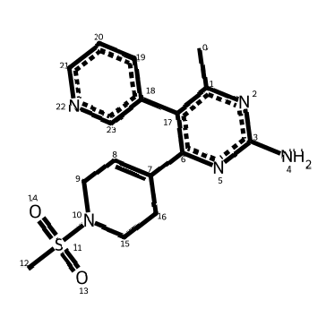 Cc1nc(N)nc(C2=CCN(S(C)(=O)=O)CC2)c1-c1cccnc1